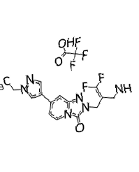 CCn1cc(-c2ccn3c(=O)n(CC(CN)=C(F)F)nc3c2)cn1.O=C(O)C(F)(F)F